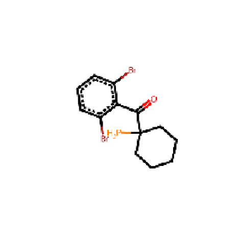 O=C(c1c(Br)cccc1Br)C1(P)CCCCC1